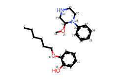 CCCCCCOc1ccccc1O.COC1CNCCN1c1ccccc1